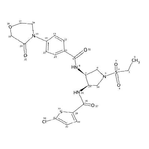 CCS(=O)(=O)N1C[C@H](NC(=O)c2ccc(N3CCOCC3=O)cc2)[C@H](NC(=O)c2ccc(Cl)s2)C1